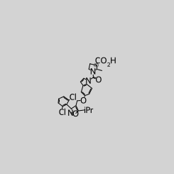 CC(C)c1onc(-c2c(Cl)cccc2Cl)c1COc1ccc2c(ccn2C(=O)N2CC[C@H](C(=O)O)C2C)c1